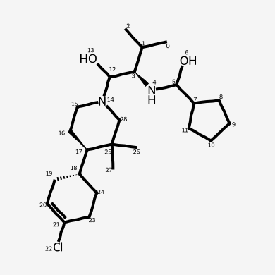 CC(C)[C@@H](NC(O)C1CCCC1)C(O)N1CC[C@H]([C@H]2CC=C(Cl)CC2)C(C)(C)C1